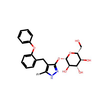 CC(C)c1[nH]nc(O[C@@H]2O[C@H](CO)[C@@H](O)[C@H](O)[C@H]2O)c1Cc1ccccc1Oc1ccccc1